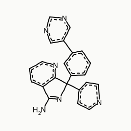 NC1=NC(c2ccncc2)(c2cccc(-c3cncnc3)c2)c2ncccc21